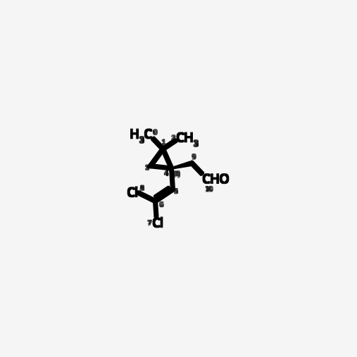 CC1(C)C[C@]1(C=C(Cl)Cl)CC=O